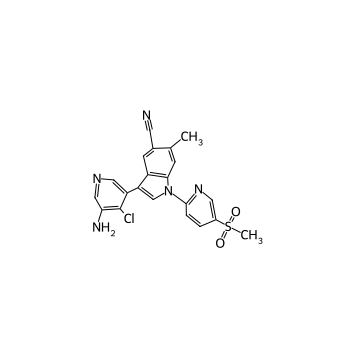 Cc1cc2c(cc1C#N)c(-c1cncc(N)c1Cl)cn2-c1ccc(S(C)(=O)=O)cn1